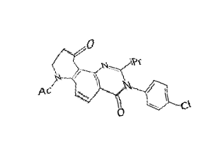 CC(=O)N1CCC(=O)c2c1ccc1c(=O)n(-c3ccc(Cl)cc3)c(C(C)C)nc21